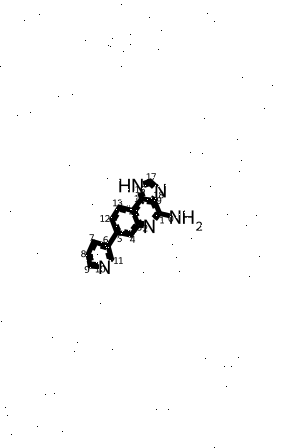 Nc1nc2cc(-c3cccnc3)ccc2c2[nH]cnc12